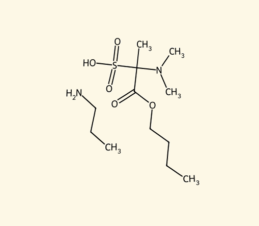 CCCCOC(=O)C(C)(N(C)C)S(=O)(=O)O.CCCN